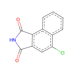 O=C1NC(=O)c2c1cc(Cl)c1ccccc21